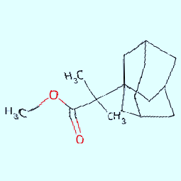 COC(=O)C(C)(C)C12CC3CC(CC(C3)C1)C2